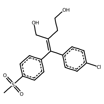 CS(=O)(=O)c1ccc(C(=C(CO)CCO)c2ccc(Cl)cc2)cc1